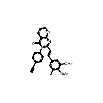 C#Cc1ccc(-n2c(/C=C/c3cc(C)c(OC)c(OC)c3)nc3ncccc3c2=O)cc1